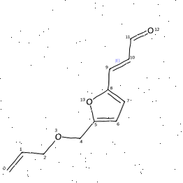 C=CCOCc1ccc(/C=C/C=O)o1